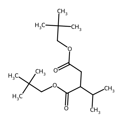 CC(C)C(CC(=O)OCC(C)(C)C)C(=O)OCC(C)(C)C